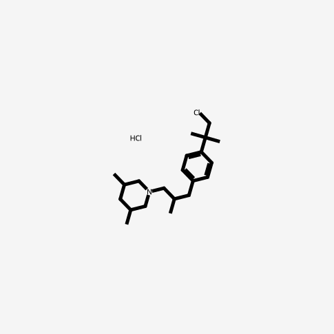 CC(Cc1ccc(C(C)(C)CCl)cc1)CN1CC(C)CC(C)C1.Cl